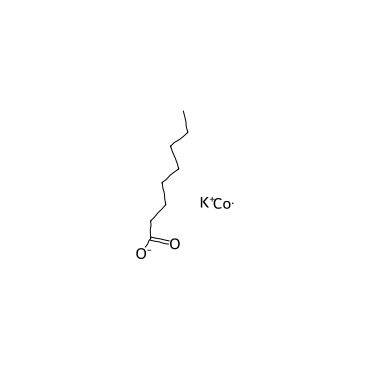 CCCCCCCC(=O)[O-].[Co].[K+]